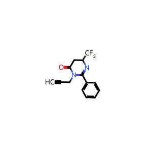 C#CCN1C(=O)CC(C(F)(F)F)N=C1c1ccccc1